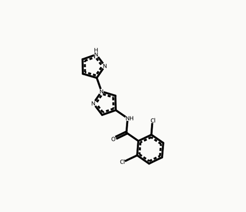 O=C(Nc1cnn(-c2cc[nH]n2)c1)c1c(Cl)cccc1Cl